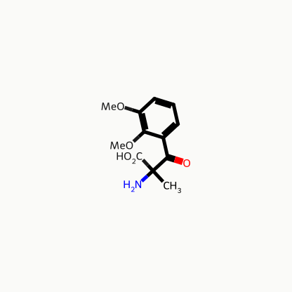 COc1cccc(C(=O)C(C)(N)C(=O)O)c1OC